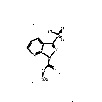 CC(C)(C)OC(=O)n1nc(S(=O)(=O)Cl)c2cccnc21